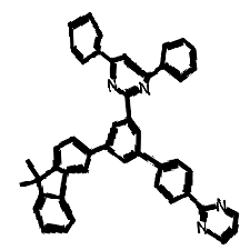 CC1(C)c2ccccc2-c2cc(-c3cc(-c4ccc(-c5ncccn5)cc4)cc(-c4nc(-c5ccccc5)cc(-c5ccccc5)n4)c3)ccc21